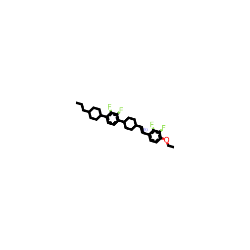 CCCC1CCC(c2ccc(C3CCC(/C=C/c4ccc(OCC)c(F)c4F)CC3)c(F)c2F)CC1